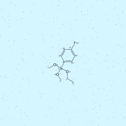 CCO[Si](OC)(OC)c1ccc(F)cc1